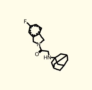 O=C(CNC12CC3CC(CC(C3)C1)C2)N1Cc2ccc(F)cc2C1